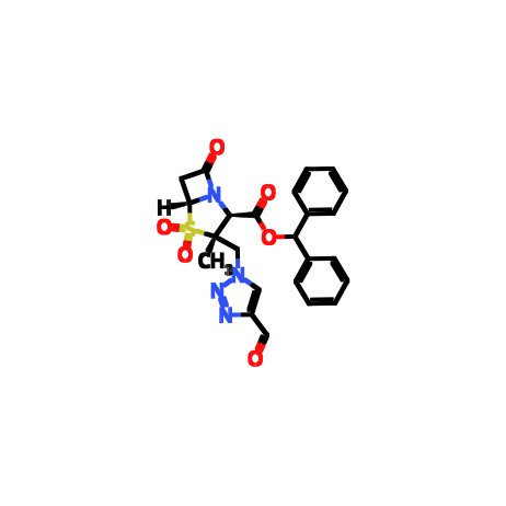 C[C@]1(Cn2cc(C=O)nn2)[C@H](C(=O)OC(c2ccccc2)c2ccccc2)N2C(=O)C[C@H]2S1(=O)=O